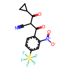 N#CC(C(=O)c1ccc(S(F)(F)(F)(F)F)cc1[N+](=O)[O-])C(=O)C1CC1